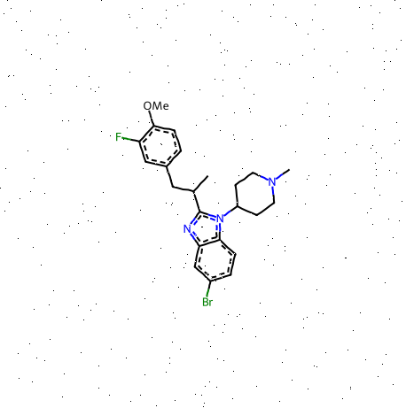 COc1ccc(CC(C)c2nc3cc(Br)ccc3n2C2CCN(C)CC2)cc1F